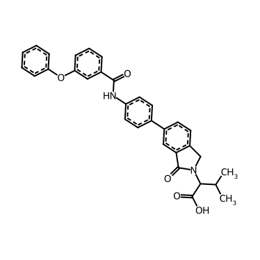 CC(C)C(C(=O)O)N1Cc2ccc(-c3ccc(NC(=O)c4cccc(Oc5ccccc5)c4)cc3)cc2C1=O